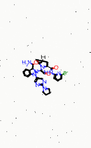 NC(=O)C1c2ccccc2N(c2cnc(N3CCCC3)nc2)N1[C@H](C=O)N1C2C[C@@H]2C[C@H]1C(=O)Nc1cccc(Br)n1